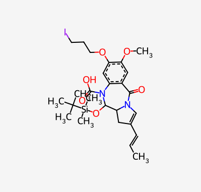 CC=CC1=CN2C(=O)c3cc(OC)c(OCCCI)cc3N(C(=O)O)C(O[Si](C)(C)C(C)(C)C)C2C1